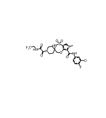 Cn1cc2c(c1C(=O)Nc1ccc(F)c(Cl)c1)OCC1(CCN(C(=O)C(=O)NCC(F)(F)F)CC1)NS2(=O)=O